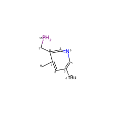 CC1=CC(C(C)(C)C)=CN=C=C1CP